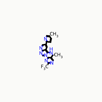 Cc1ccc(-c2cnc3ncnc(N[C@H](C)c4cnc(C(F)(F)F)nc4)c3c2)nc1